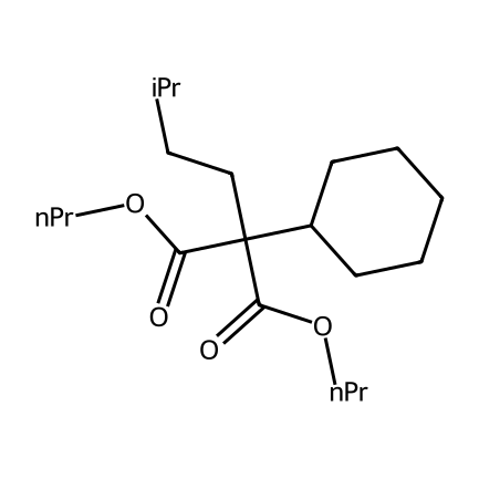 CCCOC(=O)C(CCC(C)C)(C(=O)OCCC)C1CCCCC1